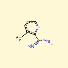 Cc1cccnc1C(=N)N